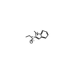 CC[S+]([O-])c1cc2ccccc2n1C